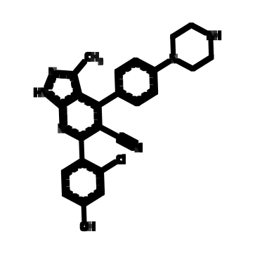 Cc1n[nH]c2nc(-c3ccc(O)cc3Cl)c(C#N)c(-c3ccc(N4CCNCC4)cc3)c12